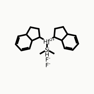 C[SiH](C)[Hf+2]([CH]1CCC2C=CC=CC21)[CH]1CCC2C=CC=CC21.[F-].[F-]